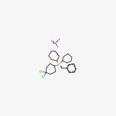 ClC1(Cl)CCC(P(=Cc2ccccc2)(C2CCCCC2)C2CCCCC2)CC1.[I][Ru]([I])[I]